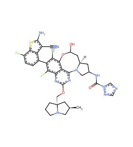 C[C@H]1CN2CCC[C@@]2(COc2nc3c4c(c(Cl)c(-c5ccc(F)c6sc(N)c(C#N)c56)c(F)c4n2)OC(O)C[C@H]2CC(NC(=O)n4cncn4)CN32)C1